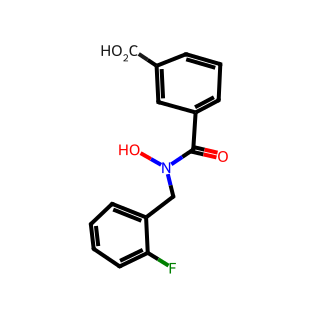 O=C(O)c1cccc(C(=O)N(O)Cc2ccccc2F)c1